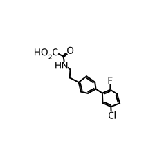 O=C(O)C(=O)NCCc1ccc(-c2cc(Cl)ccc2F)cc1